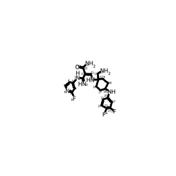 N=C(Nc1ccnc(F)c1)/C(=C\NC1(CN)CCC(Nc2ccc(F)c(F)c2)CC1)C(N)=O